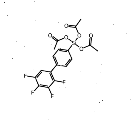 CC(=O)O[Si](OC(C)=O)(OC(C)=O)c1ccc(-c2cc(F)c(F)c(F)c2F)cc1